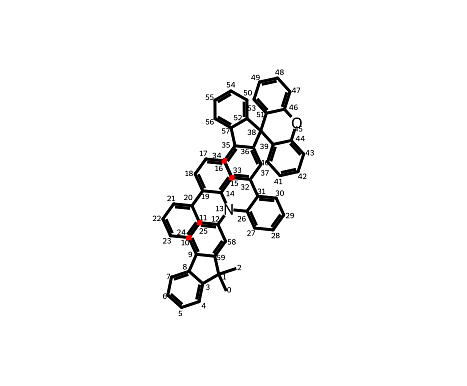 CC1(C)c2ccccc2-c2ccc(N(c3ccccc3-c3ccccc3)c3ccccc3-c3ccc4c(c3)C3(c5ccccc5Oc5ccccc53)c3ccccc3-4)cc21